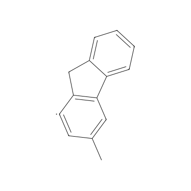 Cc1c[c]c2c(c1)-c1ccccc1C2